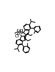 CCCC1=Cc2c(ccc(C(C)C)c2-c2ccccc2C)[CH]1[Zr]([Cl])([Cl])([CH]1C(CCC)=Cc2c1ccc(C(C)C)c2-c1ccccc1C)[SiH](C)C